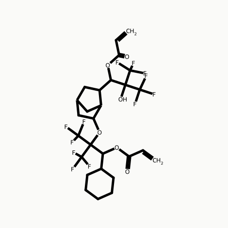 C=CC(=O)OC(C1CC2CC(OC(C(OC(=O)C=C)C3CCCCC3)(C(F)(F)F)C(F)(F)F)C1C2)C(O)(C(F)(F)F)C(F)(F)F